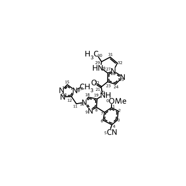 COc1ccc(C#N)cc1-c1nn(Cc2nncn2C)cc1NC(=O)c1cnn2c1NC(C)C=C2